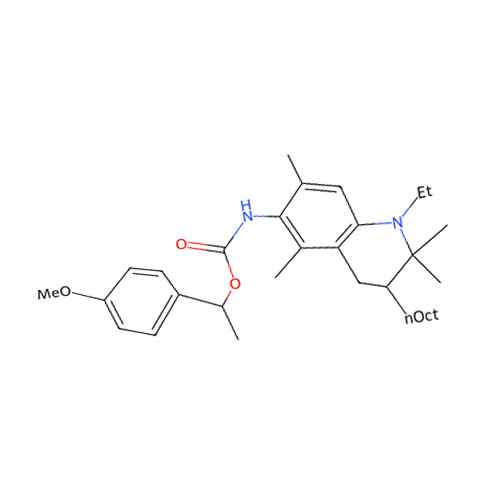 CCCCCCCCC1Cc2c(cc(C)c(NC(=O)OC(C)c3ccc(OC)cc3)c2C)N(CC)C1(C)C